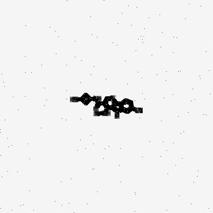 CC(C)Nc1c(C(=O)NC2CC(O)C2)cnc2c1[nH]c1cc(C#N)ccc12